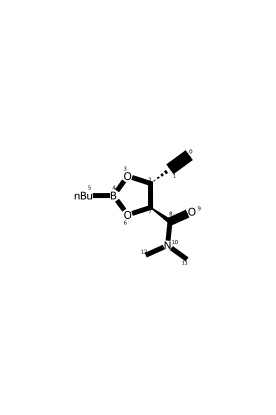 C#C[C@H]1OB(CCCC)O[C@@H]1C(=O)N(C)C